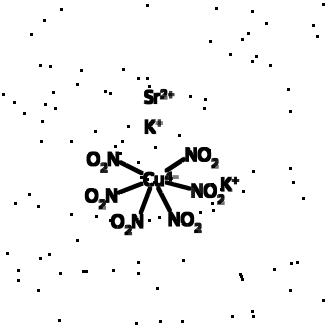 O=[N+]([O-])[Cu-4]([N+](=O)[O-])([N+](=O)[O-])([N+](=O)[O-])([N+](=O)[O-])[N+](=O)[O-].[K+].[K+].[Sr+2]